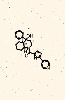 O=C(c1csc(-c2ccncc2)n1)N1CCC(O)(c2ccccc2)[C@H]2CCCC[C@H]21